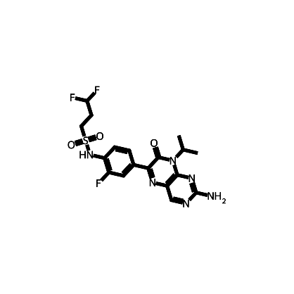 CC(C)n1c(=O)c(-c2ccc(NS(=O)(=O)CCC(F)F)c(F)c2)nc2cnc(N)nc21